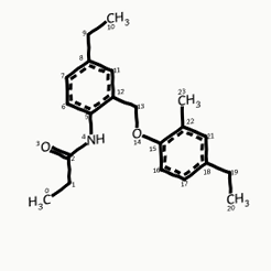 CCC(=O)Nc1ccc(CC)cc1COc1ccc(CC)cc1C